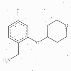 NCc1ccc(F)cc1OC1CCOCC1